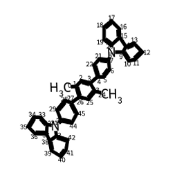 Cc1cc(-c2ccc(-n3c4ccccc4c4ccccc43)cc2)c(C)cc1-c1ccc(-n2c3ccccc3c3ccccc32)cc1